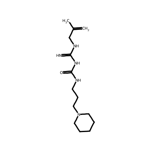 C=C(C)CNC(=N)NC(=O)NCCCN1CCCCC1